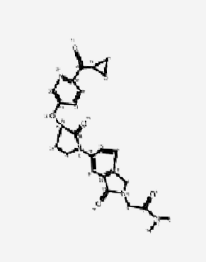 CN(C)C(=O)CN1Cc2ccc(N3CC[C@@H](Oc4ccc(C(=O)C5CC5)nc4)C3=O)cc2C1=O